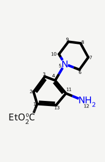 CCOC(=O)c1ccc(N2CCCCC2)c(N)c1